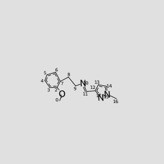 COc1ccccc1CCN=Cc1ccn(C)n1